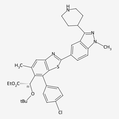 CCOC(=O)[C@@H](OC(C)(C)C)c1c(C)cc2nc(-c3ccc4c(c3)c(C3CCNCC3)nn4C)sc2c1-c1ccc(Cl)cc1